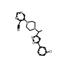 CC(c1cc(-c2cccc(Cl)c2)on1)N1CCN(c2cncnc2C#N)CC1